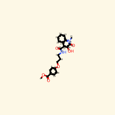 COC(=O)c1ccc(OCCCNC(=O)c2c(O)c(=O)n(C)c3ccccc23)cc1